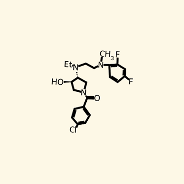 CCN(CCN(C)c1ccc(F)cc1F)[C@@H]1CN(C(=O)c2ccc(Cl)cc2)C[C@H]1O